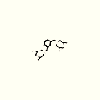 c1cc(CN(CC2CO2)CC2CO2)cc(CN(CC2CO2)C[C@H]2CO2)c1